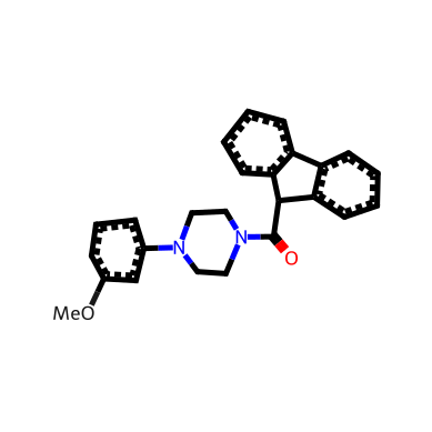 COc1cccc(N2CCN(C(=O)C3c4ccccc4-c4ccccc43)CC2)c1